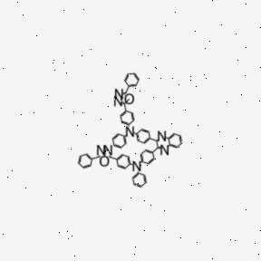 c1ccc(-c2nnc(-c3ccc(N(c4ccccc4)c4ccc(-c5nc6ccccc6nc5-c5ccc(N(c6ccccc6)c6ccc(-c7nnc(-c8ccccc8)o7)cc6)cc5)cc4)cc3)o2)cc1